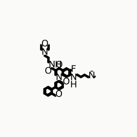 CN(C)CCCCNc1c(F)cc2c(=O)c(C(=O)NCCCN3CCOCC3)cn3c2c1Oc1cc2c(cc1-3)-c1ccccc1CO2